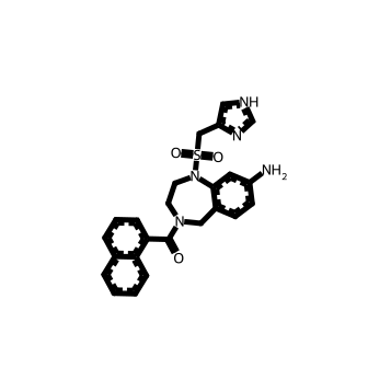 Nc1ccc2c(c1)N(S(=O)(=O)Cc1c[nH]cn1)CCN(C(=O)c1cccc3ccccc13)C2